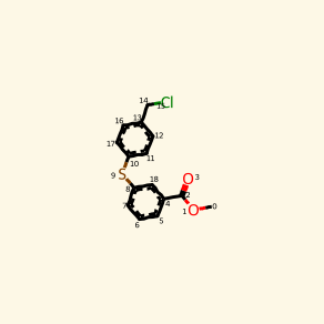 COC(=O)c1cccc(Sc2ccc(CCl)cc2)c1